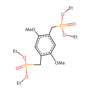 CCOP(=O)(Cc1cc(OC)c(CP(=O)(OCC)OCC)cc1OC)OCC